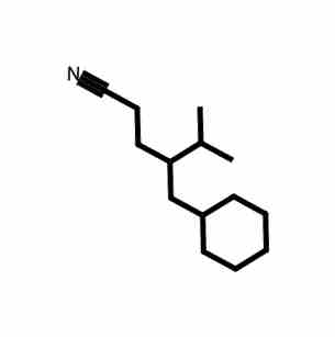 CC(C)C(CCC#N)CC1CCCCC1